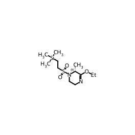 CCOC1=NCCN(S(=O)(=O)CC[Si](C)(C)C)[C@@H]1C